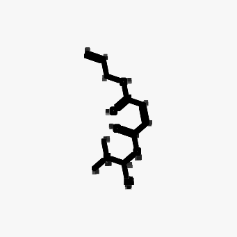 C=CCOC(=O)/C=C\C(=O)OC(CC)N(C)C